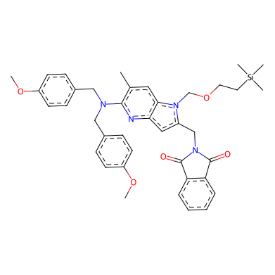 COc1ccc(CN(Cc2ccc(OC)cc2)c2nc3cc(CN4C(=O)c5ccccc5C4=O)n(COCC[Si](C)(C)C)c3cc2C)cc1